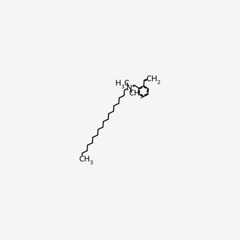 C=Cc1ccccc1C[N+](C)(C)CCCCCCCCCCCCCCCCCC